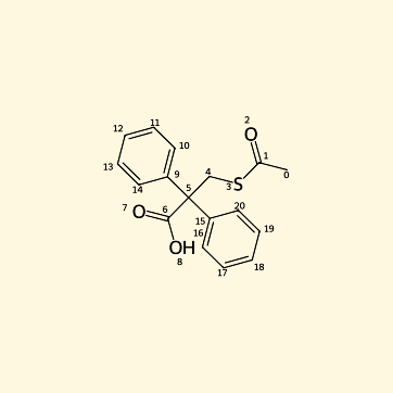 CC(=O)SCC(C(=O)O)(c1ccccc1)c1ccccc1